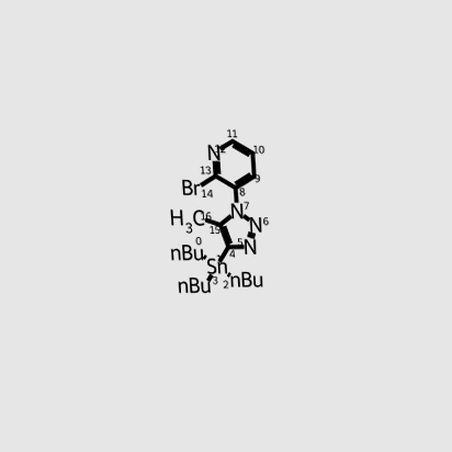 CCC[CH2][Sn]([CH2]CCC)([CH2]CCC)[c]1nnn(-c2cccnc2Br)c1C